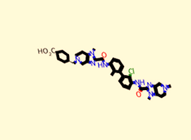 Cc1c(NC(=O)c2nc3c(n2C)CCN(C[C@H]2CC[C@@H](C(=O)O)CC2)C3)cccc1-c1cccc(NC(=O)c2nc3c(n2C)CCN(C)C3)c1Cl